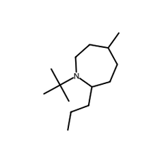 CCCC1CCC(C)CCN1C(C)(C)C